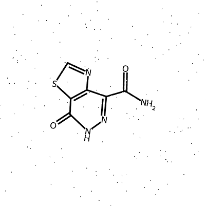 NC(=O)c1n[nH]c(=O)c2s[c]nc12